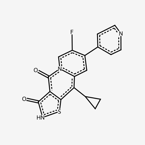 O=c1[nH]sc2c(C3CC3)c3cc(-c4ccncc4)c(F)cn3c(=O)c12